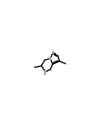 CC1Cn2ncc(I)c2CN1